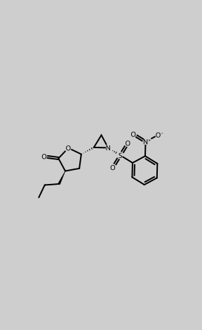 CCC[C@@H]1C[C@@H](C2C[N@]2S(=O)(=O)c2ccccc2[N+](=O)[O-])OC1=O